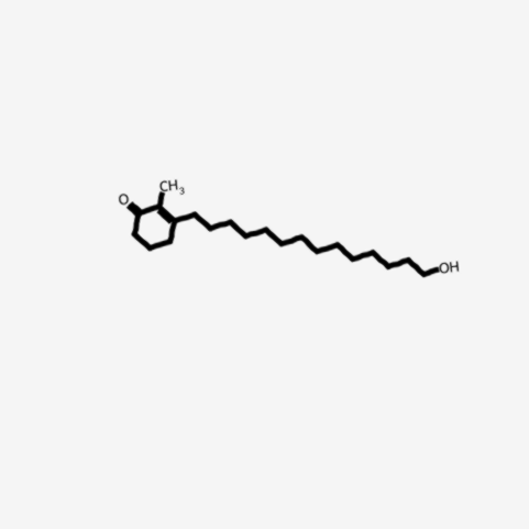 CC1=C(CCCCCCCCCCCCCCO)CCCC1=O